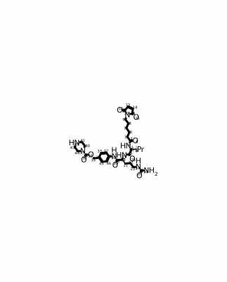 CC(C)[C@H](NC(=O)CCCCCN1C(=O)C=CC1=O)C(=O)N[C@@H](CCCNC(N)=O)C(=O)Nc1ccc(COC(=O)N2CCNCC2)cc1